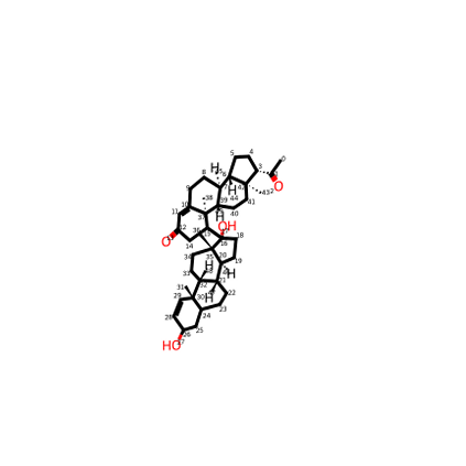 CC(=O)[C@H]1CC[C@H]2[C@@H]3CCC4=CC(=O)CC(C5(O)CC[C@H]6[C@@H]7CCC8CC(O)C=C[C@]8(C)[C@@H]7CC[C@@]65C)[C@]4(C)[C@H]3CC[C@]12C